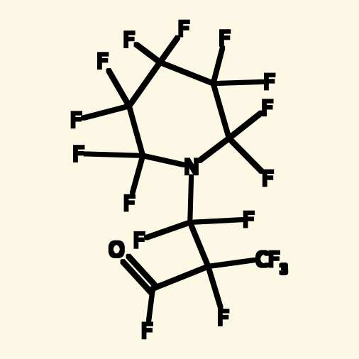 O=C(F)C(F)(C(F)(F)F)C(F)(F)N1C(F)(F)C(F)(F)C(F)(F)C(F)(F)C1(F)F